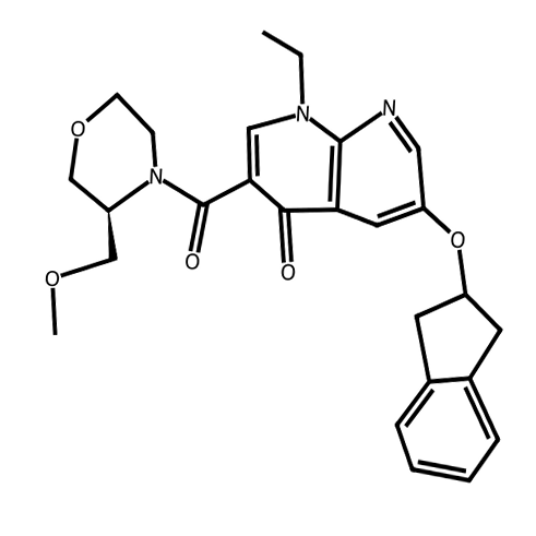 CCn1cc(C(=O)N2CCOC[C@@H]2COC)c(=O)c2cc(OC3Cc4ccccc4C3)cnc21